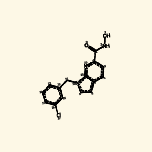 O=C(NO)c1ccc2ccn(Cc3cccc(Cl)c3)c2n1